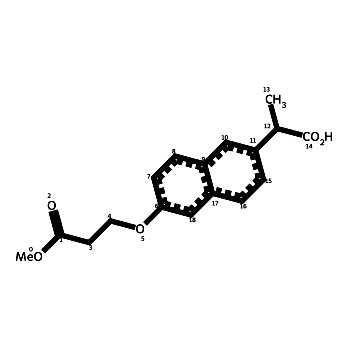 COC(=O)CCOc1ccc2cc(C(C)C(=O)O)ccc2c1